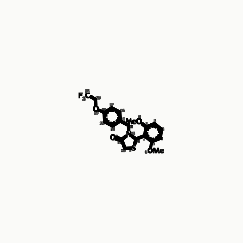 COc1cccc(OC)c1C1SCC(=O)N1Cc1ccc(OCC(F)(F)F)cc1